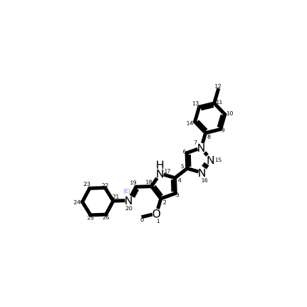 COc1cc(-c2cn(-c3ccc(C)cc3)nn2)[nH]c1/C=N/C1CCCCC1